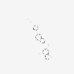 CN(C)CCn1cc(-c2ccc3[nH]c(Nc4cc(Cl)c5cc[nH]c5c4)nc3c2)cn1